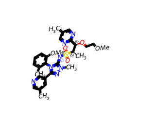 COCCO[C@H](c1ncc(C)cn1)[C@H](C)S(=O)(=O)/N=c1\n(C)nc(-c2cncc(C)c2)n1-c1c(C)cccc1OC